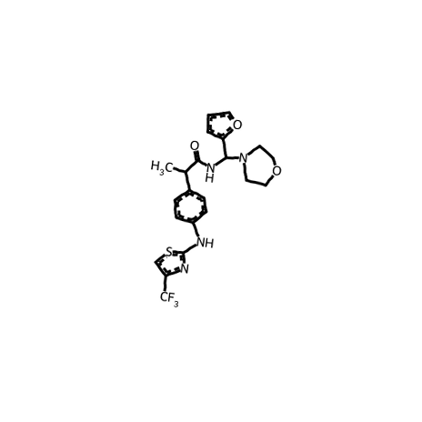 CC(C(=O)NC(c1ccco1)N1CCOCC1)c1ccc(Nc2nc(C(F)(F)F)cs2)cc1